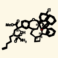 C=CCCCN(C[C@@](O)(C(=O)OC)c1ccc2c(c1)N(C[C@@H]1CC[C@H]1[C@H](C=C)O[Si](c1ccccc1)(c1ccccc1)C(C)(C)C)C[C@@]1(CCCc3cc(Cl)ccc31)CO2)S(N)(=O)=O